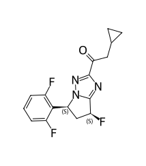 O=C(CC1CC1)c1nc2n(n1)[C@H](c1c(F)cccc1F)C[C@@H]2F